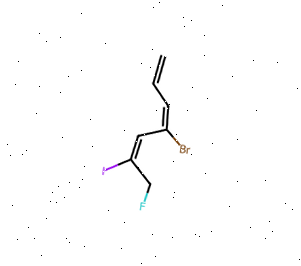 C=C/C=C(Br)\C=C(\I)CF